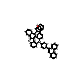 c1ccc(-c2ccc(N(c3ccc(-c4cc5ccccc5c5ccccc45)cc3)c3cccc4oc5c6ccccc6c(-c6ccccc6)cc5c34)cc2)cc1